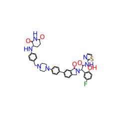 O=C1CCC(Nc2ccc(CN3CCN(c4ccc(-c5ccc6c(c5)C(=O)N(C(C(=O)Nc5nccs5)c5cc(F)ccc5O)C6)cc4)CC3)cc2)C(=O)N1